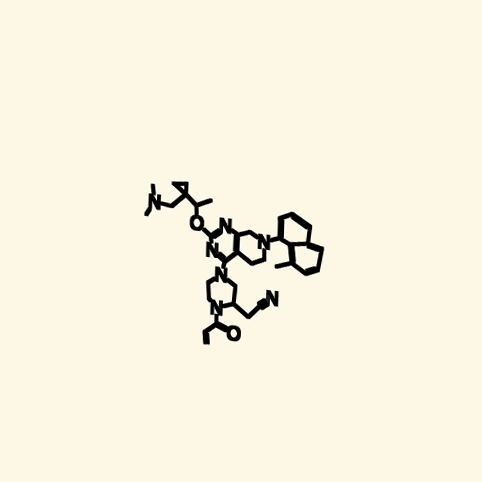 C=CC(=O)N1CCN(c2nc(OC(C)C3(CN(C)C)CC3)nc3c2CCN(c2cccc4cccc(C)c24)C3)CC1CC#N